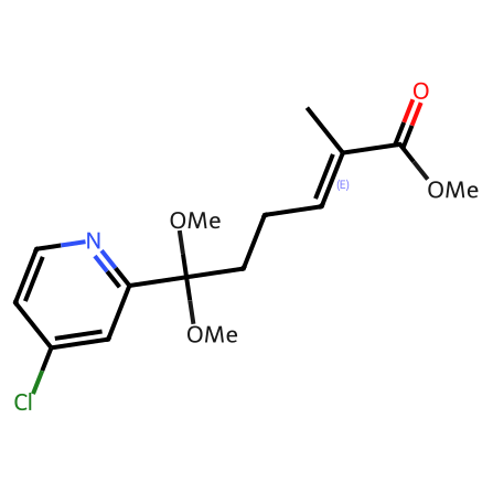 COC(=O)/C(C)=C/CCC(OC)(OC)c1cc(Cl)ccn1